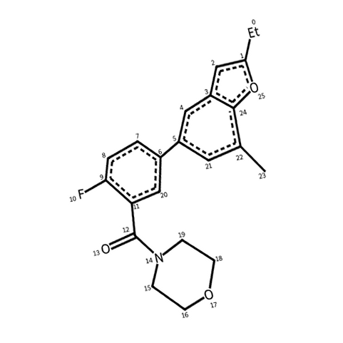 CCc1cc2cc(-c3ccc(F)c(C(=O)N4CCOCC4)c3)cc(C)c2o1